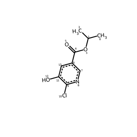 CC(C)OC(=O)c1cnc(Cl)c(O)c1